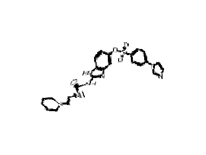 O=C(NCCN1CCCCC1)Nc1nc2cc(OS(=O)(=O)c3ccc(-n4ccnc4)cc3)ccc2[nH]1